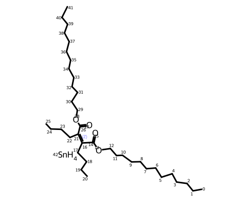 CCCCCCCCCCCCCOC(=O)/C(CCCC)=C(/CCCC)C(=O)OCCCCCCCCCCCCC.[SnH4]